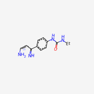 CCNC(=O)Nc1ccc(C(=N)/C=C\N)cc1